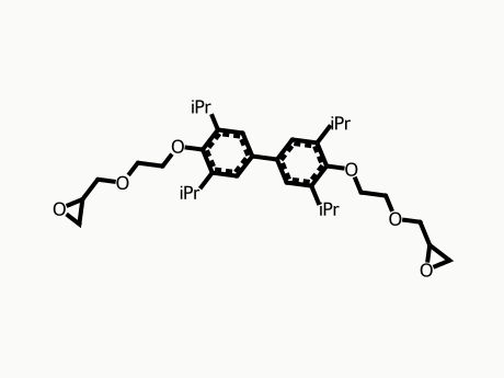 CC(C)c1cc(-c2cc(C(C)C)c(OCCOCC3CO3)c(C(C)C)c2)cc(C(C)C)c1OCCOCC1CO1